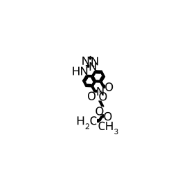 C=C(C)C(=O)OCCOn1c(=O)c2ccc3[nH]c4ncnn4c4ccc(c1=O)c2c34